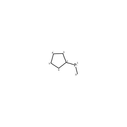 C[P]C1CCCC1